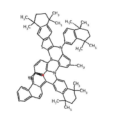 Cc1cc2c3c(c1)N(c1ccc4c(c1)C(C)(C)CCC4(C)C)c1c(sc4cc5c(cc14)C(C)(C)CCC5(C)C)B3c1ccc(C(C)(C)C)cc1N2c1cc2c(cc1-c1cccc3c1ccc1ccccc13)C(C)(C)CCC2(C)C